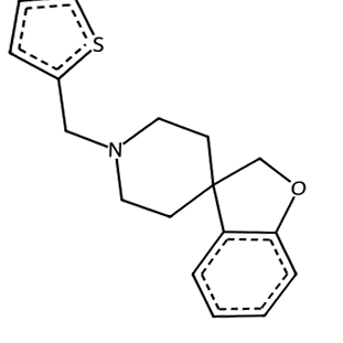 [c]1ccc(CN2CCC3(CC2)COc2ccccc23)s1